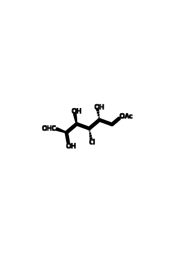 CC(=O)OC[C@@H](O)[C@H](Cl)[C@H](O)[C@@H](O)C=O